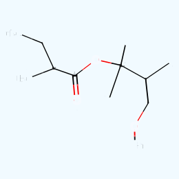 CC(C)OCC(C)C(C)(C)OC(=O)C(CC(C)(C)C)C(C)(C)C